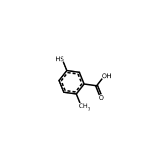 Cc1ccc(S)cc1C(=O)O